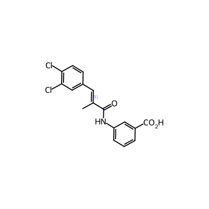 C/C(=C\c1ccc(Cl)c(Cl)c1)C(=O)Nc1cccc(C(=O)O)c1